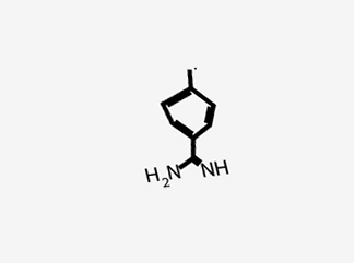 [CH2]c1ccc(C(=N)N)cc1